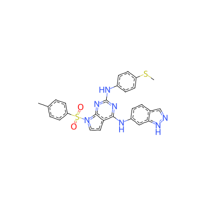 CSc1ccc(Nc2nc(Nc3ccc4cn[nH]c4c3)c3ccn(S(=O)(=O)c4ccc(C)cc4)c3n2)cc1